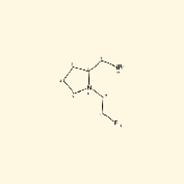 CC(C)CC1CCCN1CCF